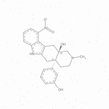 CN1CC[C@@]2(c3cccc(O)c3)Cc3[nH]c4cccc([N+](=O)[O-])c4c3C[C@]2(O)C1